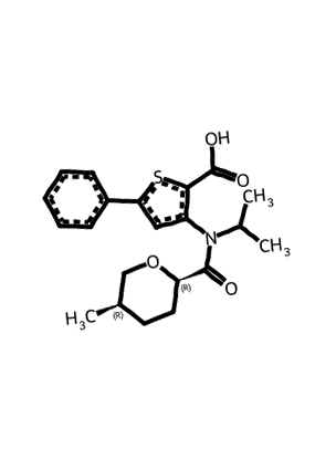 CC(C)N(C(=O)[C@H]1CC[C@@H](C)CO1)c1cc(-c2ccccc2)sc1C(=O)O